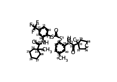 Cc1ccc(SC(=O)Sc2ccc(C(F)(F)F)cc2NC(=O)C2(C)CCCCC2)c(NC(=O)C2(C)CCCCC2)c1